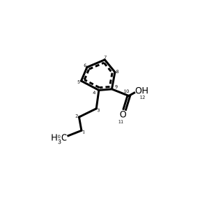 CCCCc1ccccc1C(=O)O